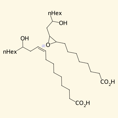 CCCCCCC(O)C/C=C\CCCCCCCC(=O)O.CCCCCCC(O)CC1OC1CCCCCCCC(=O)O